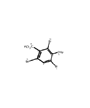 COc1c(Br)cc(Br)c(C(=O)O)c1Br